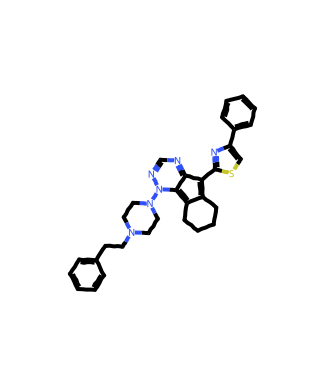 c1ccc(CCN2CCN(n3ncnc4c(-c5nc(-c6ccccc6)cs5)c5c(c3-4)CCCC5)CC2)cc1